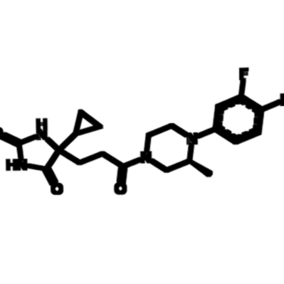 C[C@H]1CN(C(=O)CCC2(C3CC3)NC(=O)NC2=O)CCN1c1ccc(F)c(F)c1